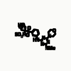 CNc1nc(Nc2cccc(S(=O)(=O)C(CO)(CO)S(=O)(=O)O)c2)nc(N2CCOCC2)n1